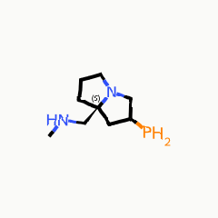 CNC[C@@]12CCCN1CC(P)C2